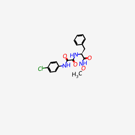 CONC(=O)[C@H](Cc1ccccc1)NC(=O)C(=O)Nc1ccc(Cl)cc1